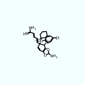 CCc1ccc(OC2(/C=C/C=CC(=N)N)C=CC3=C(OC(N)O3)C2NC2CCCCC2=O)cc1